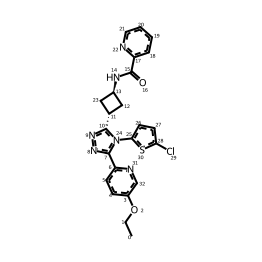 CCOc1ccc(-c2nnc([C@H]3C[C@H](NC(=O)c4ccccn4)C3)n2-c2ccc(Cl)s2)nc1